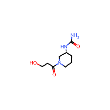 NC(=O)N[C@@H]1CCCN(C(=O)CCO)C1